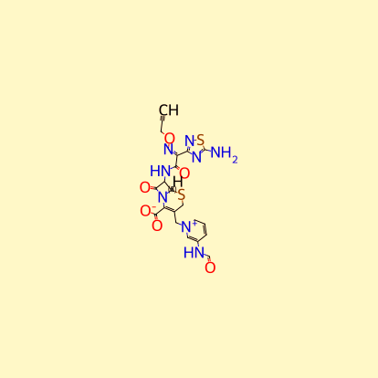 C#CCON=C(C(=O)NC1C(=O)N2C(C(=O)[O-])=C(C[n+]3cccc(NC=O)c3)CS[C@@H]12)c1nsc(N)n1